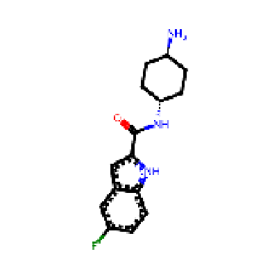 N[C@H]1CC[C@H](NC(=O)c2cc3cc(F)ccc3[nH]2)CC1